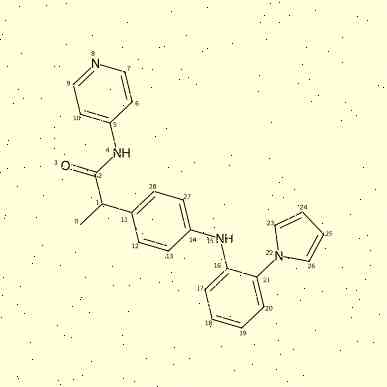 CC(C(=O)Nc1ccncc1)c1ccc(Nc2ccccc2-n2cccc2)cc1